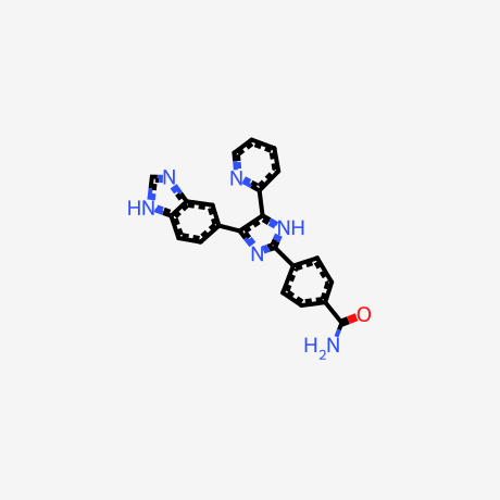 NC(=O)c1ccc(-c2nc(-c3ccc4[nH]cnc4c3)c(-c3ccccn3)[nH]2)cc1